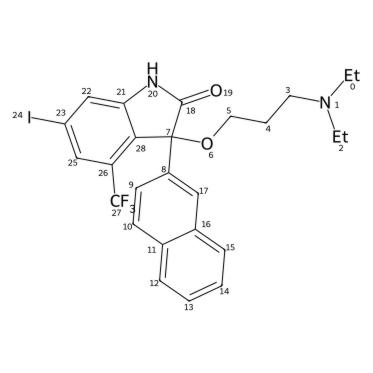 CCN(CC)CCCOC1(c2ccc3ccccc3c2)C(=O)Nc2cc(I)cc(C(F)(F)F)c21